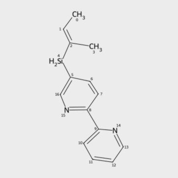 C/C=C(\C)[SiH2]c1ccc(-c2ccccn2)nc1